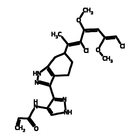 C=CC(=O)Nc1c[nH]nc1-c1n[nH]c2c1CCC(/C(C)=C(Cl)/C(=C\C(=C\Cl)OC)OC)C2